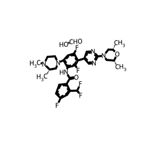 C[C@@H]1CN(c2ncc(-c3c(F)cc(N4CCN(C)[C@@H](C)C4)c(NC(=O)c4ccc(F)cc4C(F)F)c3F)cn2)C[C@H](C)O1.O=CO